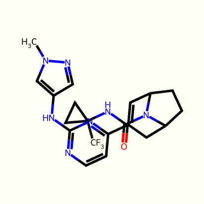 Cn1cc(Nc2nccc(C3=CC4CCC(C3)N4C(=O)NC3(C(F)(F)F)CC3)n2)cn1